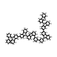 c1ccc(-c2ccccc2-n2c3ccccc3c3cc(-c4ccc5c(c4)c4ccccc4n5-c4cccc5c4oc4cccc(-c6cccc(-c7cccc(-n8c9ccccc9c9cc(-c%10ccc%11c(c%10)c%10ccccc%10n%11-c%10cccc%11c%10oc%10ccccc%10%11)ccc98)c7)c6)c45)ccc32)cc1